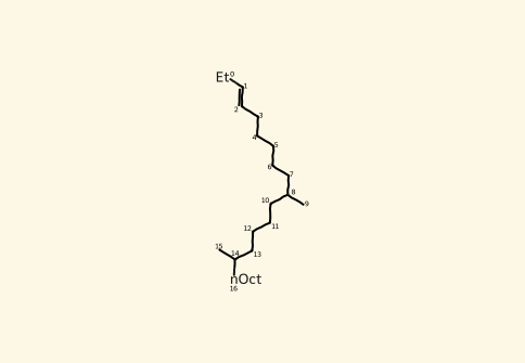 [CH2]CC=CCCCCCC(C)CCCCC(C)CCCCCCC[CH2]